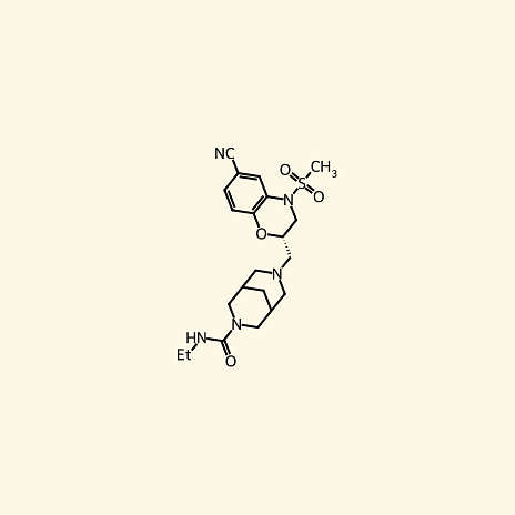 CCNC(=O)N1CC2CC(CN(C[C@H]3CN(S(C)(=O)=O)c4cc(C#N)ccc4O3)C2)C1